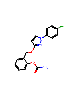 NC(=O)Oc1ccccc1COc1ccn(-c2ccc(Cl)cc2)n1